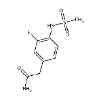 CS(=O)(=O)Nc1ccc([CH]C(N)=O)cc1F